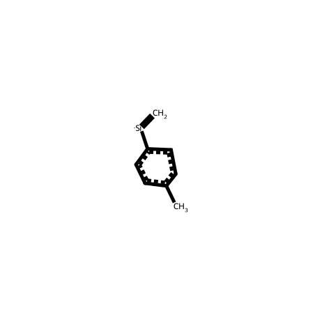 C=[Si]c1ccc(C)cc1